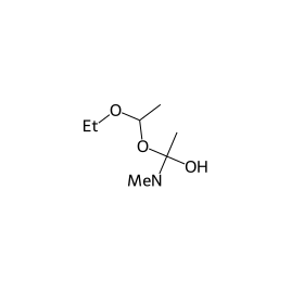 CCOC(C)OC(C)(O)NC